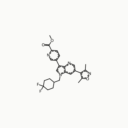 COC(=O)c1ccc(-c2cn(CC3CCC(F)(F)CC3)c3cc(-c4c(C)noc4C)cnc23)cn1